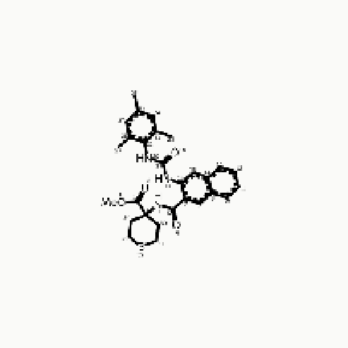 COC(=O)C1(NC(=O)c2cc3ccccc3cc2NC(=O)Nc2c(C)cc(C)cc2C)CCSCC1